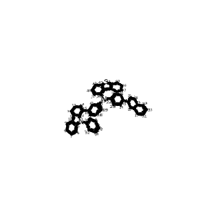 c1ccc(-n2c3ccccc3c3cccc(-c4cccc(N(c5ccc(-c6ccc7ccccc7c6)cc5)c5cccc6sc7ccccc7c56)c4)c32)cc1